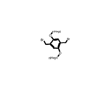 CCCCCCCOc1cc(CBr)c(OCCCCCCC)cc1CBr